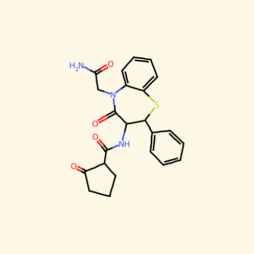 NC(=O)CN1C(=O)C(NC(=O)C2CCCC2=O)C(c2ccccc2)Sc2ccccc21